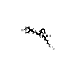 NCCCC[C@H](N)C(=O)N1CCC[C@]1(C(=O)O)[C@H](CCCCC1CCNCC1)C(=O)O